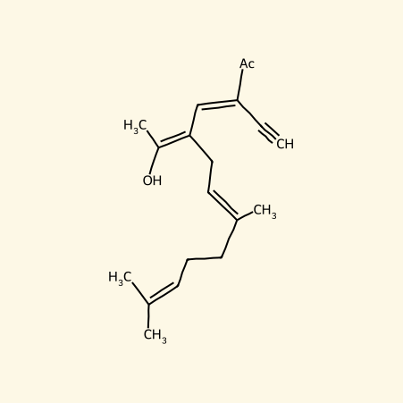 C#C/C(=C\C(C/C=C(\C)CCC=C(C)C)=C(/C)O)C(C)=O